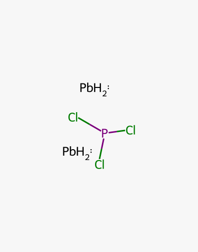 ClP(Cl)Cl.[PbH2].[PbH2]